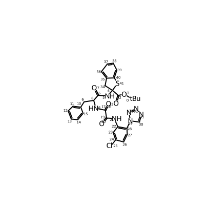 CC(C)(C)OC(=O)C1(NC(=O)C(Cc2ccccc2)NC(=O)C(=O)Nc2cc(Cl)ccc2-n2cnnn2)Cc2ccccc2S1